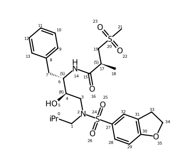 CC(C)CN(C[C@@H](O)[C@H](Cc1ccccc1)NC(=O)[C@H](C)CS(C)(=O)=O)S(=O)(=O)c1ccc2c(c1)CCO2